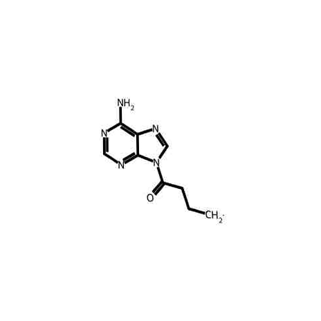 [CH2]CCC(=O)n1cnc2c(N)ncnc21